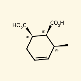 C[C@H]1C=CC[C@@H](C(=O)O)[C@H]1C(=O)O